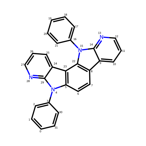 c1ccc(-n2c3ccc4c5cccnc5n(-c5ccccc5)c4c3c3cccnc32)cc1